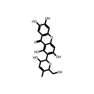 CC1=CC(O)C(c2c(O)cc3oc4cc(O)c(O)cc4c(=O)c3c2O)OC1CO